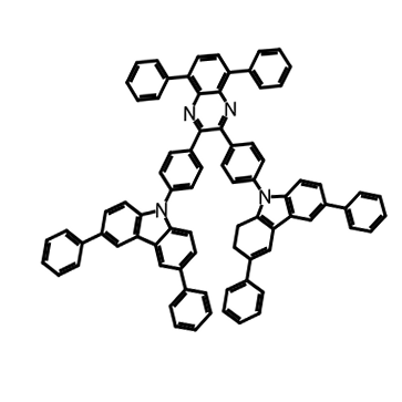 C1=C(c2ccccc2)CCc2c1c1cc(-c3ccccc3)ccc1n2-c1ccc(-c2nc3c(-c4ccccc4)ccc(-c4ccccc4)c3nc2-c2ccc(-n3c4ccc(-c5ccccc5)cc4c4cc(-c5ccccc5)ccc43)cc2)cc1